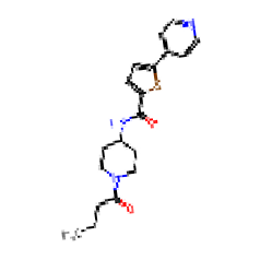 CCCC(=O)N1CCC(NC(=O)c2ccc(-c3ccncc3)s2)CC1